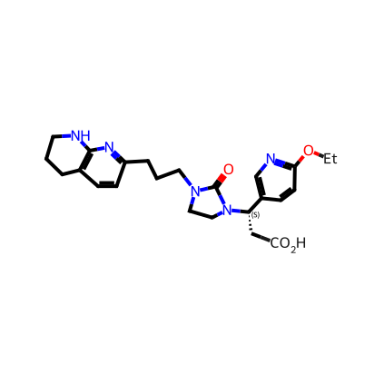 CCOc1ccc([C@H](CC(=O)O)N2CCN(CCCc3ccc4c(n3)NCCC4)C2=O)cn1